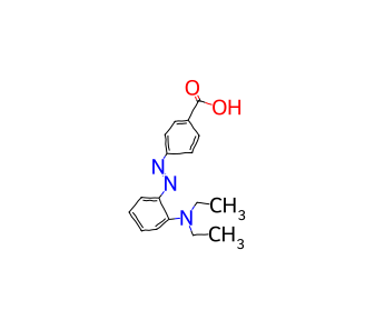 CCN(CC)c1ccccc1N=Nc1ccc(C(=O)O)cc1